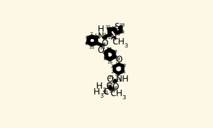 Cn1c(C(=O)Nc2ccccc2COc2ccc(O[C@H]3CC[C@H](NC(=O)OC(C)(C)C)CC3)cc2)cc2sccc21